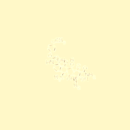 COc1ccc(OC(=O)Nc2ccc3c(c2O)C(=O)C2=C(O)C4C(=O)C(C(N)=O)=C(O)[C@@H](N)C4[C@@H](O)C2[C@H]3C)cc1